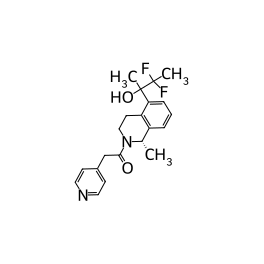 C[C@H]1c2cccc(C(C)(O)C(C)(F)F)c2CCN1C(=O)Cc1ccncc1